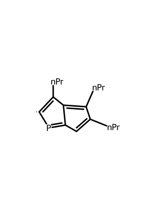 CCCC1=[C]P=C2C=C(CCC)C(CCC)=C12